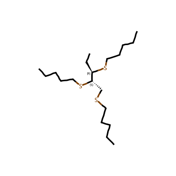 CCCCCSC[C@H](SCCCCC)[C@@H](CC)SCCCCC